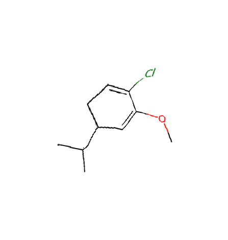 COC1=CC([C](C)C)CC=C1Cl